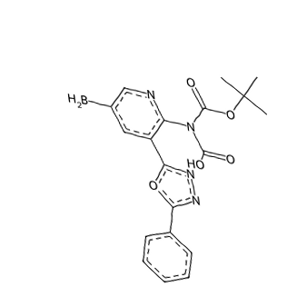 Bc1cnc(N(C(=O)O)C(=O)OC(C)(C)C)c(-c2nnc(-c3ccccc3)o2)c1